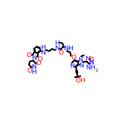 CCC(NCCCOc1cnc(C#CC(C)(C)O)c2nc(-c3nonc3N)n(CC)c12)C(=O)NCCCCNc1cccc2c1C(=O)N(C1CCC(=O)NC1=O)C2=O